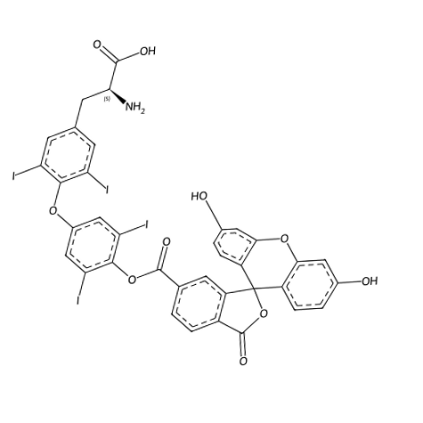 N[C@@H](Cc1cc(I)c(Oc2cc(I)c(OC(=O)c3ccc4c(c3)C3(OC4=O)c4ccc(O)cc4Oc4cc(O)ccc43)c(I)c2)c(I)c1)C(=O)O